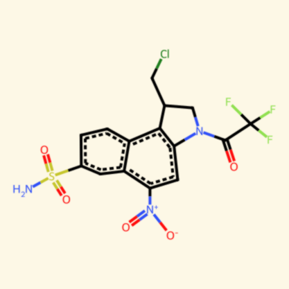 NS(=O)(=O)c1ccc2c3c(cc([N+](=O)[O-])c2c1)N(C(=O)C(F)(F)F)CC3CCl